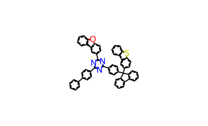 c1ccc(-c2ccc(-c3nc(-c4ccc(C5(c6ccc7sc8ccccc8c7c6)c6ccccc6-c6ccccc65)cc4)nc(-c4ccc5oc6ccccc6c5c4)n3)cc2)cc1